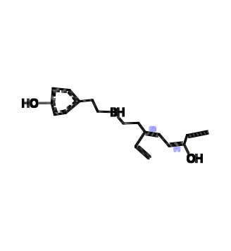 C=C/C(=C\C=C(\O)C=C)CCBCCc1ccc(O)cc1